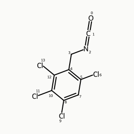 O=C=NCc1c(Cl)cc(Cl)c(Cl)c1Cl